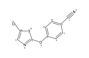 N#Cc1ccc(Oc2ncc(Cl)s2)cc1